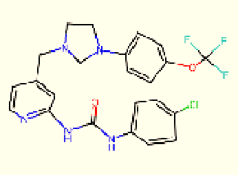 O=C(Nc1ccc(Cl)cc1)Nc1cc(CN2CCN(c3ccc(OC(F)(F)F)cc3)C2)ccn1